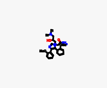 CCN(CC)CC(O)C[N+]1(CC(N)=O)C=NC(c2ccccc2OC)=C1c1ccccc1OC